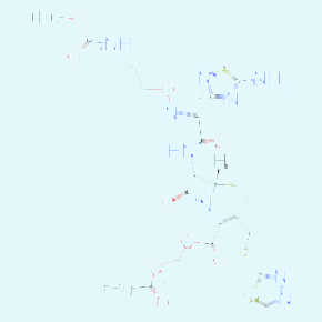 CC(C)(C)OC(=O)NCCCON=C(C(=O)NC1C(=O)N2C(C(=O)OCOC(=O)C(C)(C)C)=C(CSc3nncs3)CS[C@@H]12)c1nsc(N)n1